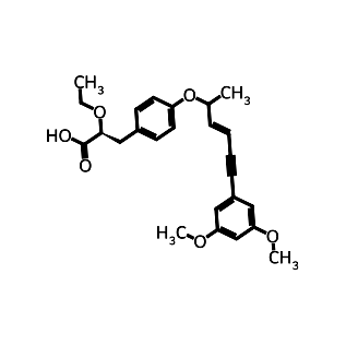 CCO[C@@H](Cc1ccc(OC(C)C=CC#Cc2cc(OC)cc(OC)c2)cc1)C(=O)O